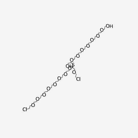 OCCOCCOCCOCCOCCOCCOCCOC(CO)SC(COCCCl)OCCOCCOCCOCCOCCOCCOCCOCCCl